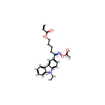 C=CC(=O)OCCCC/C(=N/OC(C)=O)c1ccc2c(c1)c1ccccc1n2CC